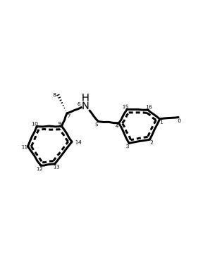 Cc1ccc(CN[C@@H](C)c2ccccc2)cc1